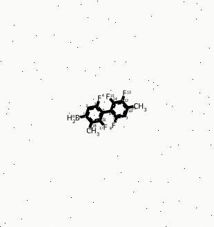 Bc1cc(F)c(-c2c(F)cc(C)c(F)c2F)c(F)c1C